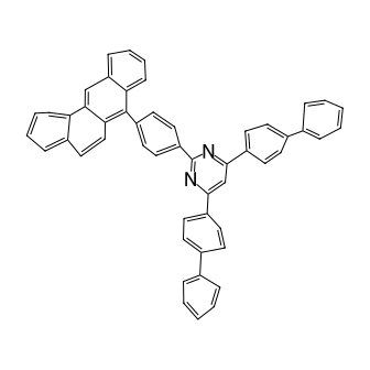 c1ccc(-c2ccc(-c3cc(-c4ccc(-c5ccccc5)cc4)nc(-c4ccc(-c5c6ccccc6cc6c5ccc5ccccc56)cc4)n3)cc2)cc1